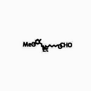 CCN(CCCCCCCOC=O)CCc1cc(OC)ccc1C